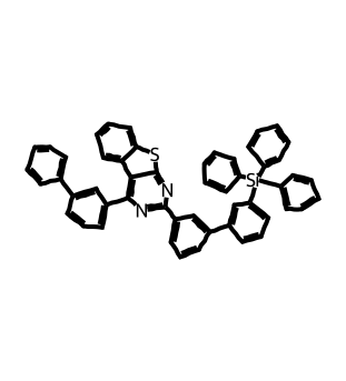 c1ccc(-c2cccc(-c3nc(-c4cccc(-c5cccc([Si](c6ccccc6)(c6ccccc6)c6ccccc6)c5)c4)nc4sc5ccccc5c34)c2)cc1